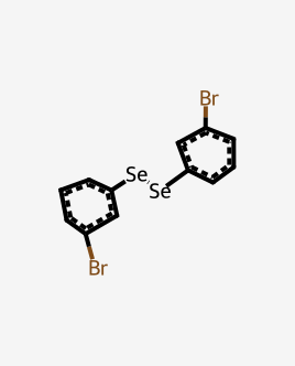 Brc1cccc([Se][Se]c2cccc(Br)c2)c1